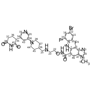 Cn1cnc2c(F)c(Nc3ccc(Br)cc3F)c(C(=O)NOCCNCC3CCN(c4cncc(C5CCC(=O)NC5=O)c4)CC3)cc21